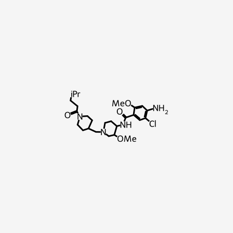 COc1cc(N)c(Cl)cc1C(=O)NC1CCN(CC2CCN(C(=O)CCC(C)C)CC2)CC1OC